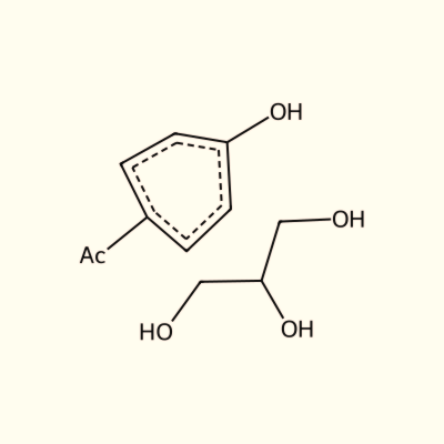 CC(=O)c1ccc(O)cc1.OCC(O)CO